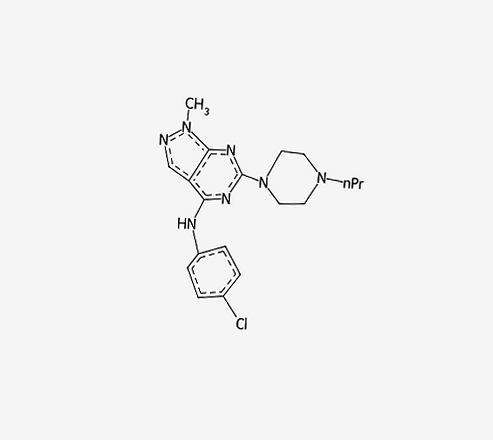 CCCN1CCN(c2nc(Nc3ccc(Cl)cc3)c3cnn(C)c3n2)CC1